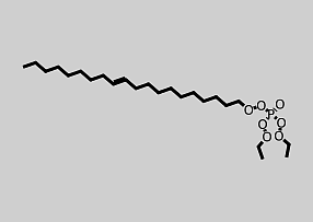 CCCCCCCCC=CCCCCCCCCCCOOP(=O)(OOCC)OOCC